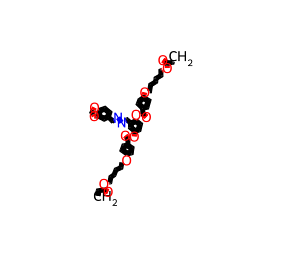 C=CC(=O)OCCCCCCOc1ccc(C(=O)Oc2ccc(OC(=O)c3ccc(OCCCCCCOC(=O)C=C)cc3)c(/C=N/N=C/c3ccc4c(c3)OCO4)c2)cc1